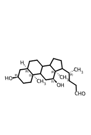 C[C@H](CCC=O)C1CCC2C3CC[C@@H]4C[C@H](O)CC[C@]4(C)C3C[C@H](O)[C@@]21C